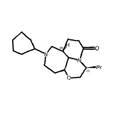 CC(C)[C@H]1COC2CCN(C3CCCCC3)C[C@H]3CCC(=O)N1C23